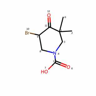 CC1(C)CN(C(=O)O)CC(Br)C1=O